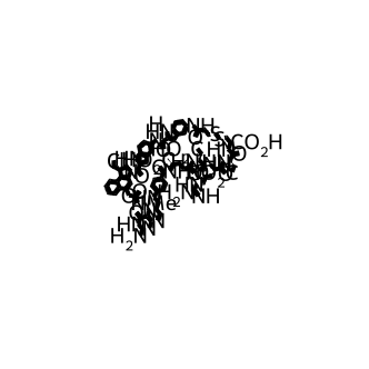 CNC(=O)Oc1cc2c(c3ccccc13)C(CCl)CN2C(=O)c1cc2cc(NC(=O)c3cc4cc(NC(=O)CCSSC[C@H](NC(=O)[C@H](CC(=O)O)NC(=O)[C@H](CCCNC(=N)N)NC(=O)[C@H](CC(=O)O)NC(=O)CC[C@H](NC(=O)c5ccc(NCc6cnc7nc(N)[nH]c(=O)c7n6)cc5)C(=O)O)C(=O)O)ccc4[nH]3)ccc2[nH]1